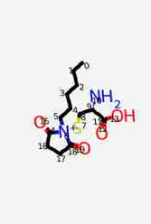 CCCCCC[N+]1(SC[C@H](N)C(=O)O)C(=O)CCC1=O